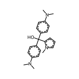 CN(C)c1ccc(C(O)(c2ccc(N(C)C)cc2)c2cccn2C)cc1